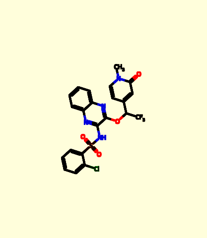 Cn1ccc(C(Oc2nc3ccccc3nc2NS(=O)(=O)c2ccccc2Cl)C(F)(F)F)cc1=O